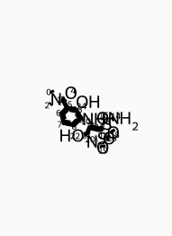 CN(C)C(=O)c1cccc(NC2=C(S(N)(=O)=O)S(=O)(=O)N=C2O)c1O